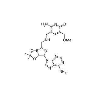 COCn1cc(CNCC2OC(n3cnc4c(N)ncnc43)C3OC(C)(C)OB23)c(N)nc1=O